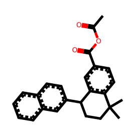 CC(=O)OC(=O)c1ccc2c(c1)C(c1ccc3ccccc3c1)CCC2(C)C